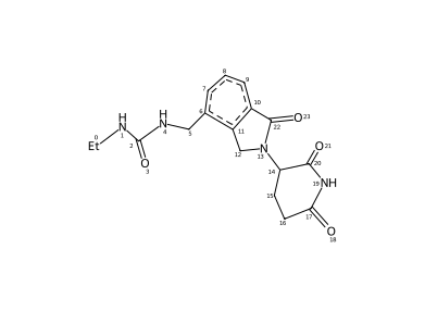 CCNC(=O)NCc1cccc2c1CN(C1CCC(=O)NC1=O)C2=O